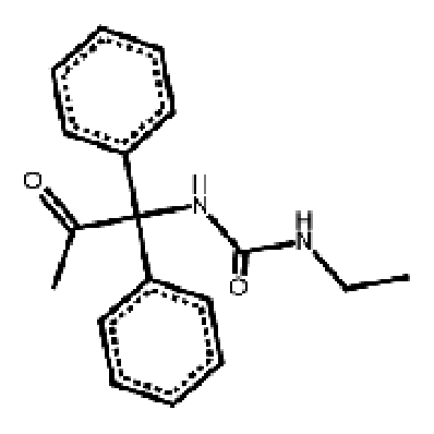 CCNC(=O)NC(C(C)=O)(c1ccccc1)c1ccccc1